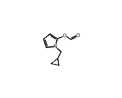 O=COc1cccn1CC1CC1